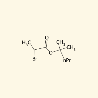 CCCC(C)(C)OC(=O)C(C)Br